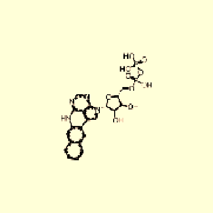 O=P(O)(O)OP(=O)(O)OC[C@H]1O[C@@H](n2cc3c4c(ncnc42)Nc2cc4ccccc4cc2-3)C(O)C1O